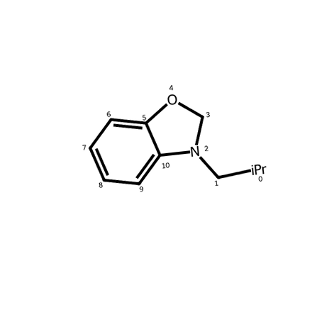 CC(C)CN1COc2ccccc21